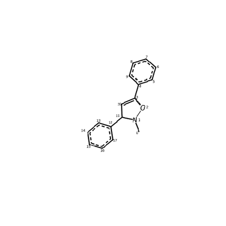 CN1OC(c2ccccc2)=CC1c1ccccc1